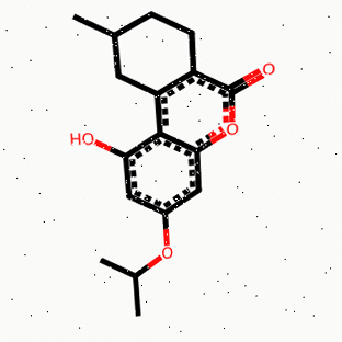 CC1CCc2c(c3c(O)cc(OC(C)C)cc3oc2=O)C1